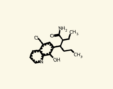 CCCC(c1cc(Cl)c2cccnc2c1O)C(CC)C(N)=O